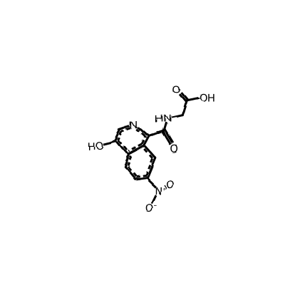 O=C(O)CNC(=O)c1ncc(O)c2ccc([N+](=O)[O-])cc12